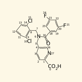 O=C(O)c1ccc(CN(Cc2c(Cl)cccc2Cl)C(=O)c2cc(F)cc(F)c2)cn1